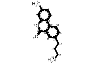 Cc1ccc2c(c1)oc(=O)c1cc(CCCN)ccc12